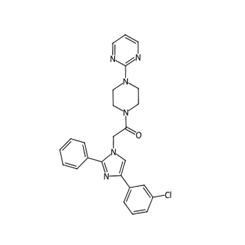 O=C(Cn1cc(-c2cccc(Cl)c2)nc1-c1ccccc1)N1CCN(c2ncccn2)CC1